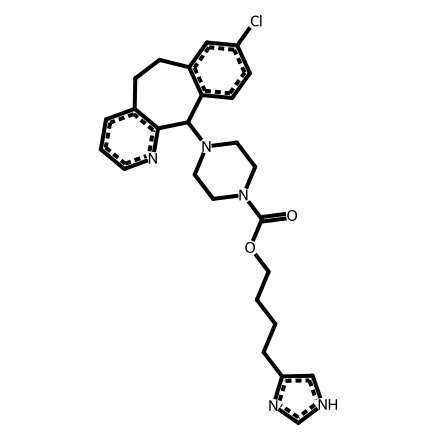 O=C(OCCCCc1c[nH]cn1)N1CCN(C2c3ccc(Cl)cc3CCc3cccnc32)CC1